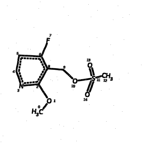 COc1nccc(F)c1COS(C)(=O)=O